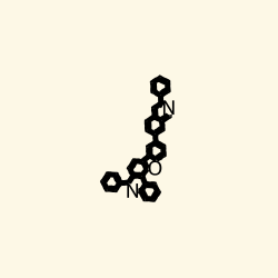 c1ccc(-c2cc3ccc(-c4ccc5oc6c(ccc7c(-c8ccccc8)nc8ccccc8c76)c5c4)cc3cn2)cc1